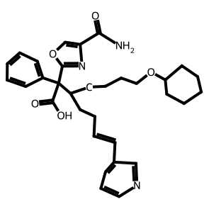 NC(=O)c1coc(C(C(=O)O)(c2ccccc2)C(CCC=Cc2cccnc2)CCCCOC2CCCCC2)n1